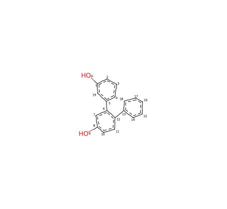 Oc1cccc(-c2cc(O)ccc2-c2ccccc2)c1